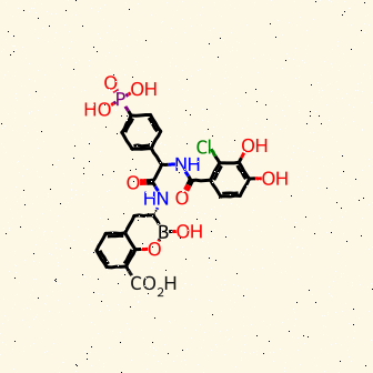 O=C(NC(C(=O)N[C@H]1Cc2cccc(C(=O)O)c2OB1O)c1ccc(P(=O)(O)O)cc1)c1ccc(O)c(O)c1Cl